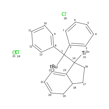 CC(C)(C)C(c1ccccc1)(c1ccccc1)[C]1([Ti+3])CCC2CC=CC=C21.[Cl-].[Cl-].[Cl-]